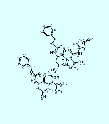 CC(C)CC(NC(=O)OCc1ccccc1)C(=O)NC(C(=O)Nc1n[nH]c(=S)s1)C(C)C.CC(C)CC(NC(=O)OCc1ccccc1)C(=O)NC(C(=O)O)C(C)C